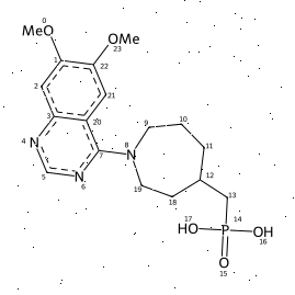 COc1cc2ncnc(N3CCCC(CP(=O)(O)O)CC3)c2cc1OC